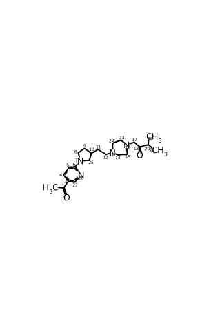 CC(=O)c1ccc(N2CCC(CCN3CCN(CC(=O)C(C)C)CC3)C2)nc1